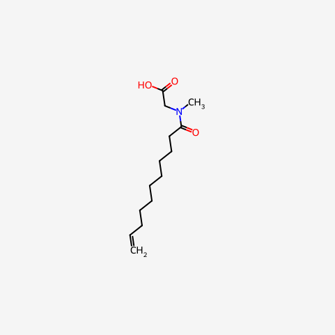 C=CCCCCCCCCC(=O)N(C)CC(=O)O